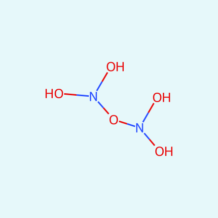 ON(O)ON(O)O